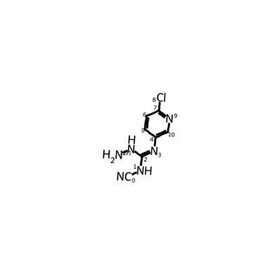 N#CNC(=Nc1ccc(Cl)nc1)NN